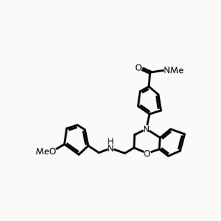 CNC(=O)c1ccc(N2CC(CNCc3cccc(OC)c3)Oc3ccccc32)cc1